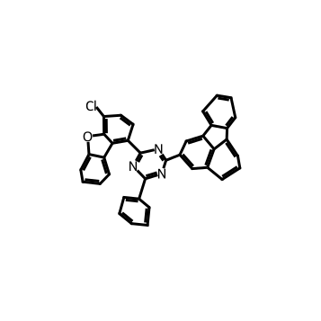 Clc1ccc(-c2nc(-c3ccccc3)nc(-c3cc4c5c(cccc5c3)-c3ccccc3-4)n2)c2c1oc1ccccc12